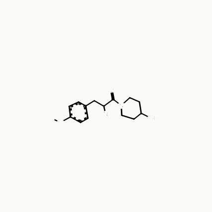 COc1ccc(CC(N)C(=O)N2CCC(O)CC2)cc1